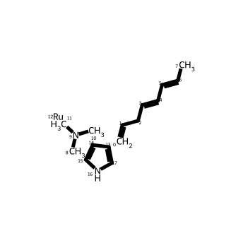 C=CCC=CC=CC.CN(C)C.[Ru].c1cc[nH]c1